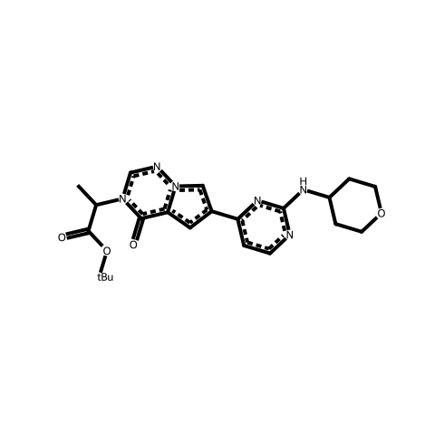 CC(C(=O)OC(C)(C)C)n1cnn2cc(-c3ccnc(NC4CCOCC4)n3)cc2c1=O